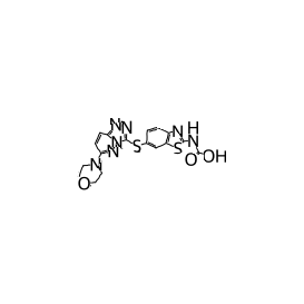 O=C(O)Nc1nc2ccc(Sc3nnc4ccc(N5CCOCC5)nn34)cc2s1